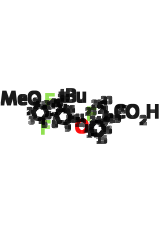 COc1ccc(F)c(-c2ccc(COc3cccc([C@@H](CC(=O)O)C4CC4)c3F)cc2[C@@H](F)C(C)(C)C)c1